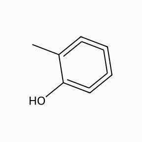 CC1=C=C=C=C=C1O